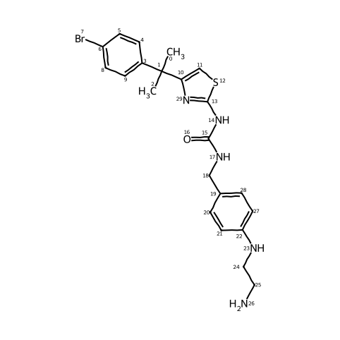 CC(C)(c1ccc(Br)cc1)c1csc(NC(=O)NCc2ccc(NCCN)cc2)n1